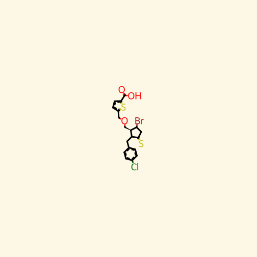 O=C(O)c1ccc(COC[C@H]2C(Br)CC(=S)C2Cc2ccc(Cl)cc2)s1